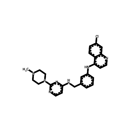 CN1CCN(c2nccc(NCc3cccc(Nc4ccnc5cc(Cl)ccc45)c3)n2)CC1